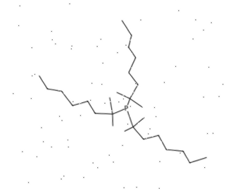 CCCCCCC(C)(C)P(C(C)(C)CCCCCC)C(C)(C)CCCCCC